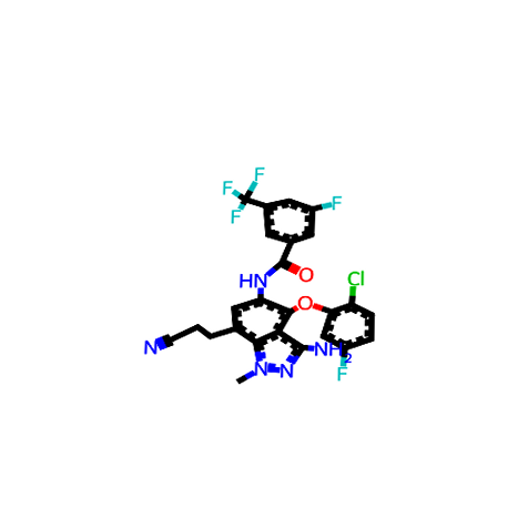 Cn1nc(N)c2c(Oc3cc(F)ccc3Cl)c(NC(=O)c3cc(F)cc(C(F)(F)F)c3)cc(CCC#N)c21